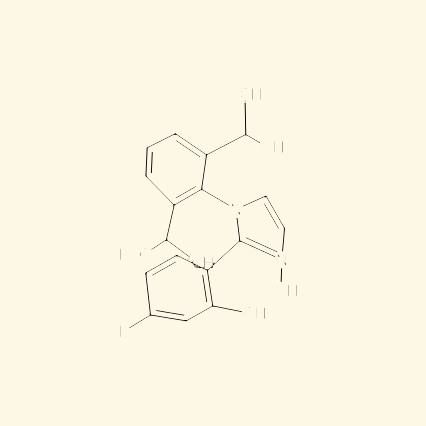 Cc1cc(F)ccc1-c1n(-c2c(C(C)C)cccc2C(C)C)cc[n+]1C